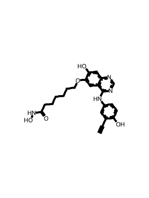 C#Cc1cc(Nc2ncnc3cc(O)c(OCCCCCCC(=O)NO)cc23)ccc1O